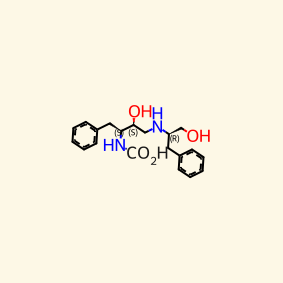 O=C(O)N[C@@H](Cc1ccccc1)[C@@H](O)CN[C@@H](CO)Cc1ccccc1